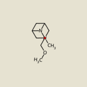 COCCN1C2CC1CN(C)C2